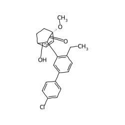 CCc1ccc(-c2ccc(Cl)cc2)cc1C1=C(O)C2C=C[C@](OC)(CC2)C1=O